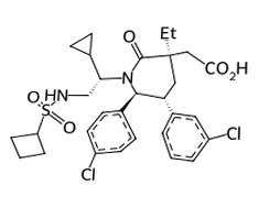 CC[C@]1(CC(=O)O)C[C@H](c2cccc(Cl)c2)[C@@H](c2ccc(Cl)cc2)N([C@H](CNS(=O)(=O)C2CCC2)C2CC2)C1=O